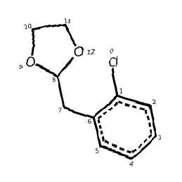 Clc1ccccc1CC1OCCO1